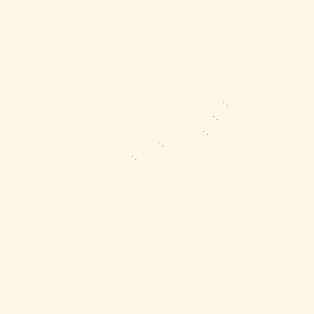 [N-]=[N+]=NCc1cccc(N2CCCCC2)n1